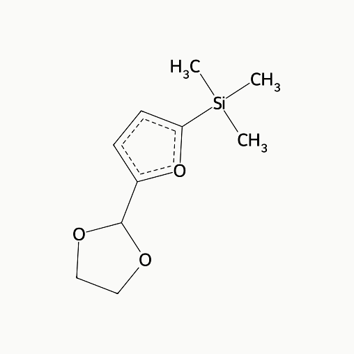 C[Si](C)(C)c1ccc(C2OCCO2)o1